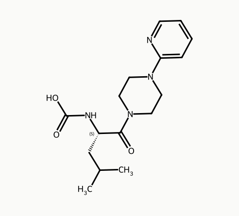 CC(C)C[C@H](NC(=O)O)C(=O)N1CCN(c2ccccn2)CC1